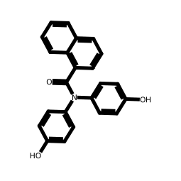 O=C(c1[c]ccc2ccccc12)N(c1ccc(O)cc1)c1ccc(O)cc1